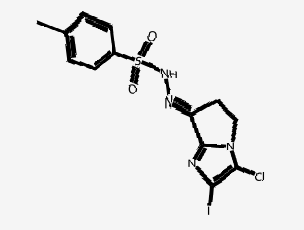 Cc1ccc(S(=O)(=O)N/N=C2\CCn3c2nc(I)c3Cl)cc1